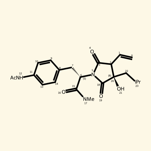 C=CC1C(=O)N([C@@H](Cc2ccc(NC(C)=O)cc2)C(=O)NC)C(=O)[C@@]1(O)CC(C)C